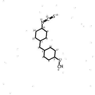 N#CSC1CCC(CC2CCC(N=C=S)CC2)CC1